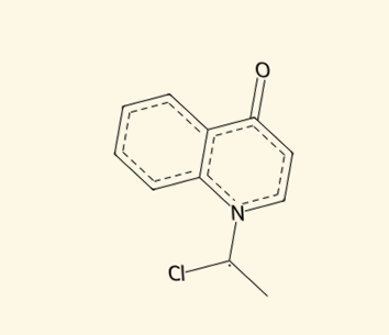 C[C](Cl)n1ccc(=O)c2ccccc21